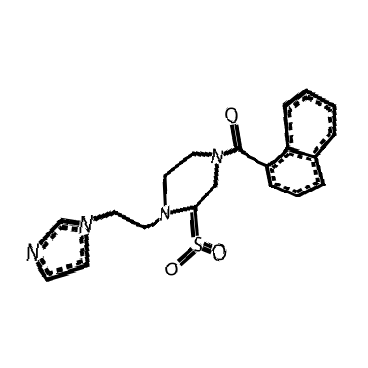 O=C(c1cccc2ccccc12)N1CCN(CCn2ccnc2)C(=S(=O)=O)C1